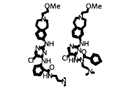 COCCN1CCc2ccc(Nc3ncc(Cl)c(NN(CCN(C)C)C(=O)c4ccccc4)n3)cc2CC1.COCCN1CCc2ccc(Nc3ncc(Cl)c(Nc4ccccc4C(=O)NCCN(C)C)n3)cc2CC1